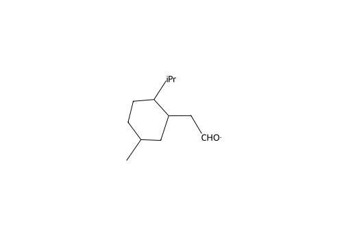 CC1CCC(C(C)C)C(C[C]=O)C1